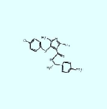 Cc1nn(C)c(Oc2ccc(Cl)cc2)c1C(=O)N[C@@H](C)c1ccc(C(=O)O)cc1